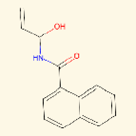 C=CC(O)NC(=O)c1cccc2ccccc12